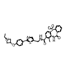 CCN1CC(Oc2ccc(-c3ncc(CNC(=O)c4ccc5c(c4C)NC(=O)c4ccccc4S5(=O)=O)s3)cc2)C1